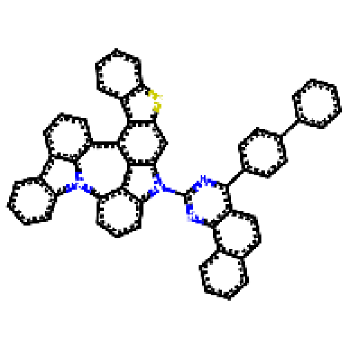 c1ccc(-c2ccc(-c3nc(-n4c5cc6sc7ccccc7c6c6c7cccc8c9ccccc9n(c9cccc4c9c65)c87)nc4c3ccc3ccccc34)cc2)cc1